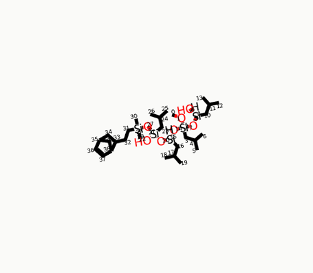 CO[Si](CC(C)C)(O[SiH](O)CC(C)C)O[SiH](CC(C)C)O[Si](O)(CC(C)C)O[Si](C)(C)CCC1CC2C=CC1C2